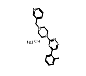 Cc1ccccc1-c1cnnc(N2CCN(Cc3cccnc3)CC2)n1.Cl.Cl